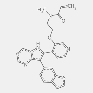 C=CC(=O)N(C)CCOc1cnccc1-c1[nH]c2cccnc2c1-c1ccc2ccsc2c1